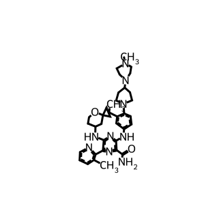 CCc1cc(Nc2nc(NC3CCOC4(CC4)C3)c(-c3ncccc3C)nc2C(N)=O)ccc1N1CCC(N2CCN(C)CC2)CC1